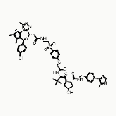 Cc1ncsc1-c1ccc(CNC(=O)[C@@H]2C[C@@H](O)CN2C(=O)[C@@H](NC(=O)COc2ccc(S(=O)(=O)CCNC(=O)C[C@@H]3N=C(c4ccc(Cl)cc4)c4c(sc(C)c4C)-n4c(C)nnc43)cc2)C(C)(C)C)cc1